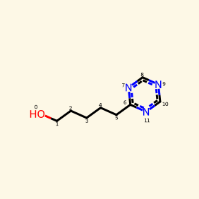 OCCCCCc1ncncn1